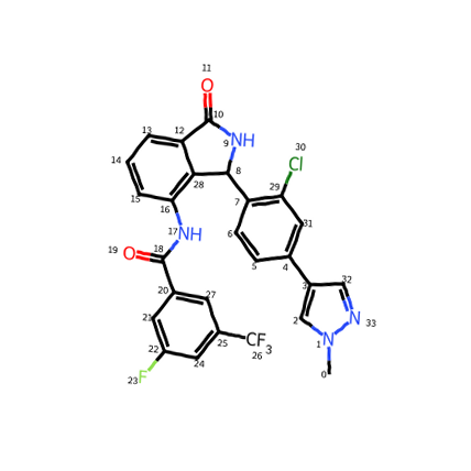 Cn1cc(-c2ccc(C3NC(=O)c4cccc(NC(=O)c5cc(F)cc(C(F)(F)F)c5)c43)c(Cl)c2)cn1